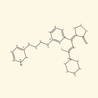 C=C1CCC/C1=C(/N=C(\C)N1CCOCC1)c1cccc(OCCCC2=CC=CPC2)c1